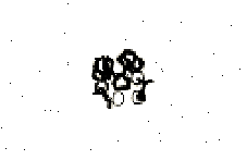 CC(Oc1cc(OC(C)C2CO2)c(C23CC4CC(CC(C4)C2)C3)c(C23CC4CC(CC(C4)C2)C3)c1)C1CO1